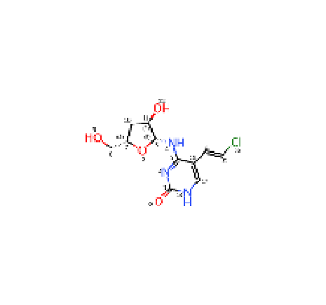 O=c1nc(N[C@@H]2O[C@H](CO)C[C@H]2O)c(C=CCl)c[nH]1